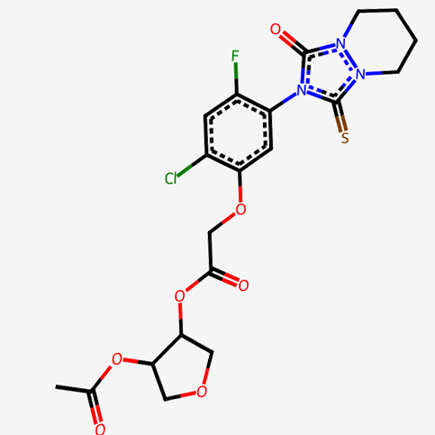 CC(=O)OC1COCC1OC(=O)COc1cc(-n2c(=O)n3n(c2=S)CCCC3)c(F)cc1Cl